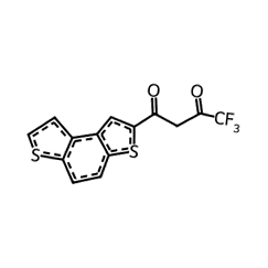 O=C(CC(=O)C(F)(F)F)c1cc2c(ccc3sccc32)s1